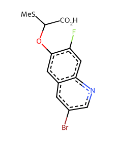 CSC(Oc1cc2cc(Br)cnc2cc1F)C(=O)O